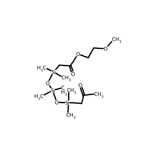 COCCOC(=O)C[Si](C)(C)O[Si](C)(C)O[Si](C)(C)CC(C)=O